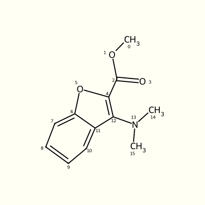 COC(=O)c1oc2ccccc2c1N(C)C